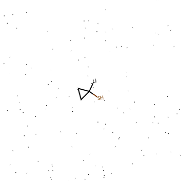 [Li][C]1(S)CC1